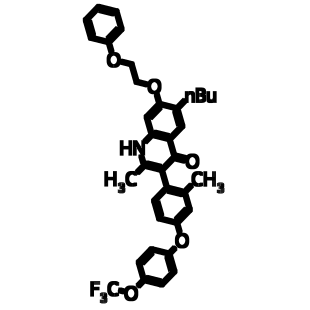 CCCCc1cc2c(=O)c(-c3ccc(Oc4ccc(OC(F)(F)F)cc4)cc3C)c(C)[nH]c2cc1OCCOc1ccccc1